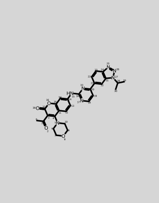 CC(=O)c1c(N2CCOCC2)c2ccc(Nc3nccc(-c4ccc5nnn(C(C)C)c5c4)n3)cc2oc1=O